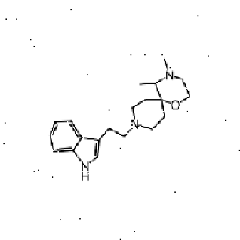 CC1N(C)CCOC12CCN(CCc1c[nH]c3ccccc13)CC2